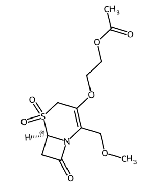 COCC1=C(OCCOC(C)=O)CS(=O)(=O)[C@@H]2CC(=O)N12